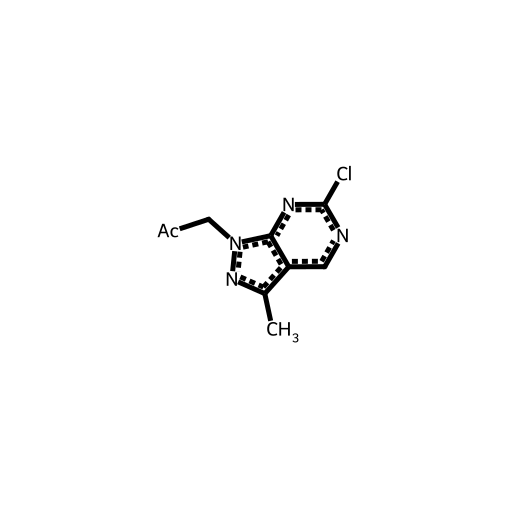 CC(=O)Cn1nc(C)c2cnc(Cl)nc21